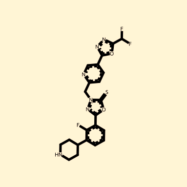 Fc1c(-c2nn(Cc3ccc(-c4nnc(C(F)F)o4)cn3)c(=S)o2)cccc1C1CCNCC1